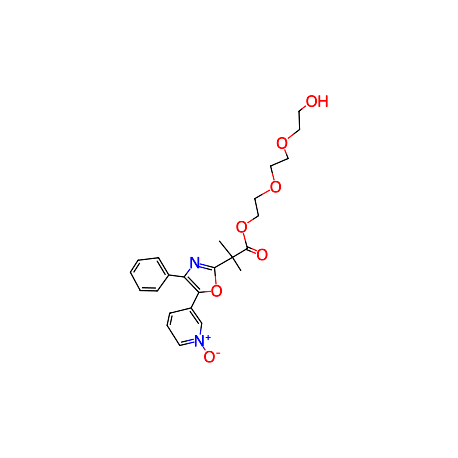 CC(C)(C(=O)OCCOCCOCCO)c1nc(-c2ccccc2)c(-c2ccc[n+]([O-])c2)o1